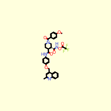 COc1ccc(C(=O)N2CCC(C(=O)Nc3ccc(OCc4cc(C)nc5ccccc45)cc3)[C@@H](C(=O)NOC(=O)C(F)(F)F)C2)cc1